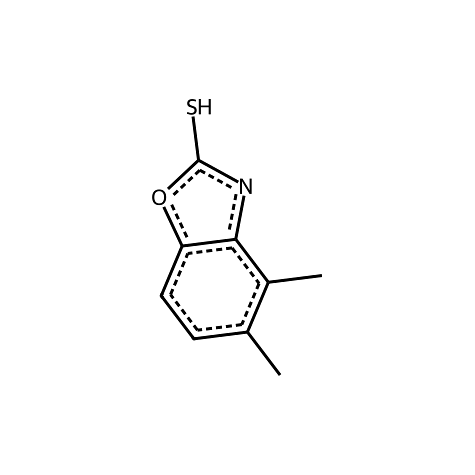 Cc1ccc2oc(S)nc2c1C